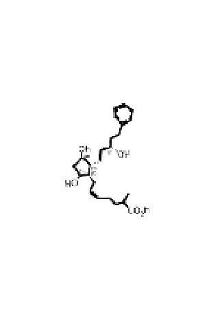 CC(CC/C=C\C[C@@H]1[C@@H](/C=C/[C@@H](O)CCc2ccccc2)[C@H](O)C[C@@H]1O)C(=O)O